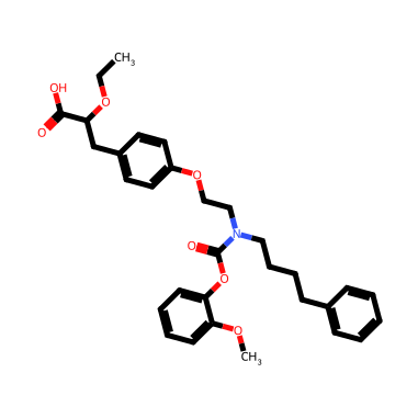 CCOC(Cc1ccc(OCCN(CCCCc2ccccc2)C(=O)Oc2ccccc2OC)cc1)C(=O)O